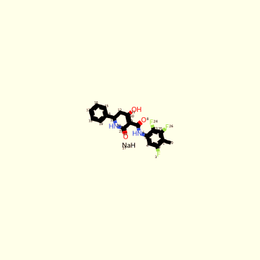 Cc1c(F)cc(NC(=O)C2=C(O)CC(c3ccccc3)NC2=O)c(F)c1F.[NaH]